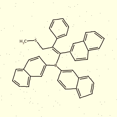 CSC/C(=C(\B(c1ccc2ccccc2c1)c1ccc2ccccc2c1)c1ccc2ccccc2c1)c1ccccc1